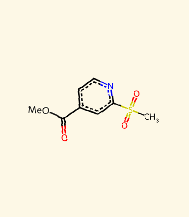 COC(=O)c1ccnc(S(C)(=O)=O)c1